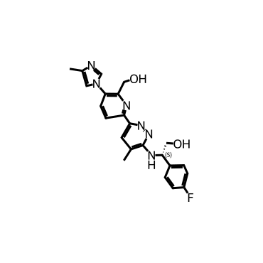 Cc1cn(-c2ccc(-c3cc(C)c(N[C@H](CO)c4ccc(F)cc4)nn3)nc2CO)cn1